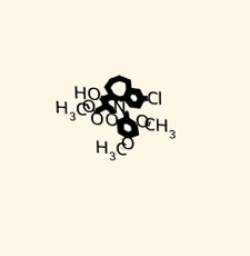 COC(=O)c1c(O)c2c(n(Cc3ccc(OC)cc3OC)c1=O)-c1ccc(Cl)cc1CCCC2